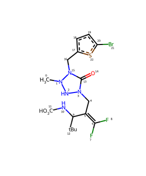 CN1NN(CC(=C(F)F)C(NC(=O)O)C(C)(C)C)C(=O)N1Cc1ccc(Br)s1